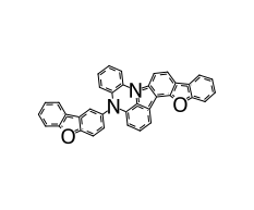 c1ccc2c(c1)N(c1ccc3oc4ccccc4c3c1)c1cccc3c4c5oc6ccccc6c5ccc4n-2c13